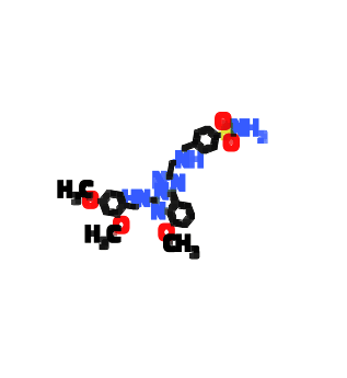 COc1ccc(CNc2nc3c(OC)cccc3c3nc(CNCc4ccc(S(N)(=O)=O)cc4)nn23)c(OC)c1